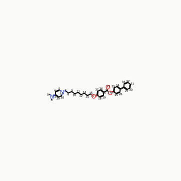 CN(C)c1cc[n+](CCCCCCCCCOc2ccc(C(=O)Oc3ccc(-c4ccccc4)cc3)cc2)cc1